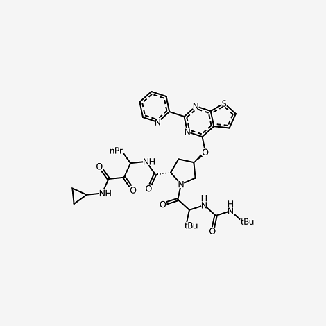 CCCC(NC(=O)[C@@H]1C[C@@H](Oc2nc(-c3ccccn3)nc3sccc23)CN1C(=O)C(NC(=O)NC(C)(C)C)C(C)(C)C)C(=O)C(=O)NC1CC1